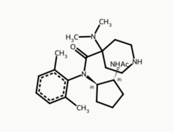 CC(=O)N[C@@H]1CCC[C@H]1N(C(=O)C1(N(C)C)CCNCC1)c1c(C)cccc1C